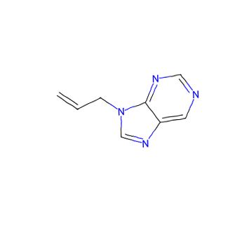 C=CCn1cnc2cncnc21